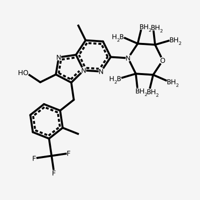 BC1(B)OC(B)(B)C(B)(B)N(c2cc(C)c3nc(CO)c(Cc4cccc(C(F)(F)F)c4C)n3n2)C1(B)B